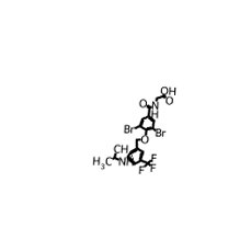 CC(C)Nc1cc(COc2c(Br)cc(C(=O)NCC(=O)O)cc2Br)cc(C(F)(F)F)c1